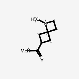 CNC(=O)C1CC2(CCN2C)C1